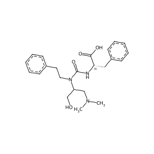 CN(C)CC(CO)N(CCc1ccccc1)C(=O)N[C@@H](Cc1ccccc1)C(=O)O